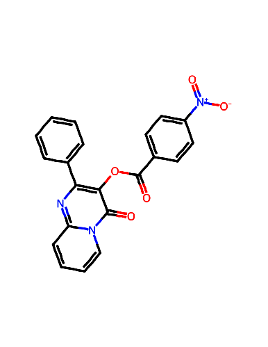 O=C(Oc1c(-c2ccccc2)nc2ccccn2c1=O)c1ccc([N+](=O)[O-])cc1